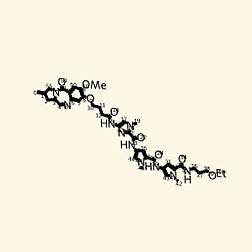 C=C1CC2C=Nc3cc(OCCCC(=O)Nc4cn(C)c(C(=O)Nc5cc(C(=O)Nc6cc(C(=O)NCCCOCC)n(C)c6)n(C)c5)n4)c(OC)cc3C(=O)N2C1